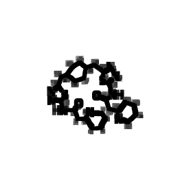 O=C(Cc1ccccn1)Nc1nnc(CC2CCC(Cc3nnc(NC(=O)Cc4ccccn4)s3)CC2)s1